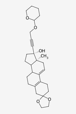 C[C@]12CC=C3C4=C(CCC3C1CC[C@@]2(O)C#CCOC1CCCCO1)CC1(CC4)OCCO1